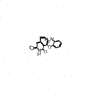 Nc1ccccc1Oc1cccc2c1C(=O)NC(=O)C2